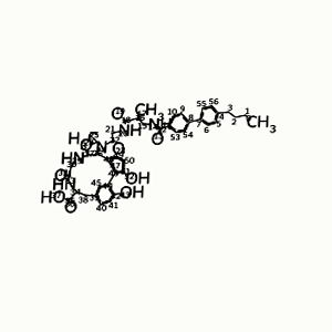 CCCCc1ccc(-c2ccc(C(=O)NC[C@@H](C)C(=O)NCC(=O)N(C)[C@@H]3C(=O)NCC(=O)N[C@H](C(=O)O)Cc4ccc(O)c(c4)-c4cc3ccc4O)cc2)cc1